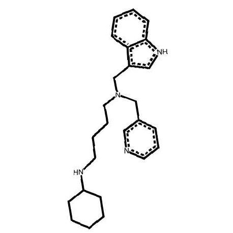 c1cncc(CN(CCCCNC2CCCCC2)Cc2c[nH]c3ccccc23)c1